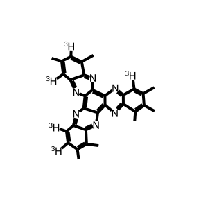 [3H]c1c(C)c(C)c2nc3c(nc2c1[3H])c1nc2c([3H])c(C)c([3H])c(C)c2nc1c1nc2c([3H])c(C)c(C)c(C)c2nc13